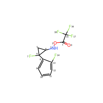 O=C(ONC1CC1(F)c1ccccc1F)C(F)(F)F